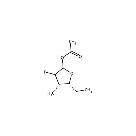 CC[C@H]1OC(OC(C)=O)C(F)[C@H]1C